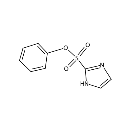 O=S(=O)(Oc1ccccc1)c1ncc[nH]1